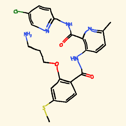 CSc1ccc(C(=O)Nc2ccc(C)nc2C(=O)Nc2ccc(Cl)cn2)c(OCCCN)c1